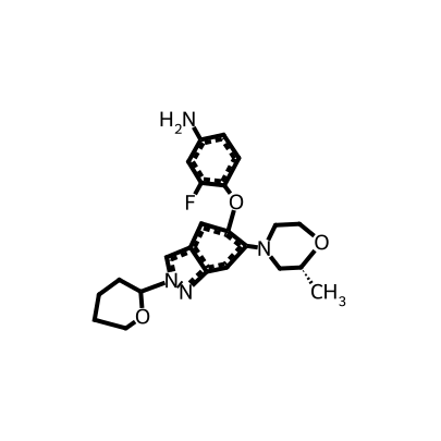 C[C@@H]1CN(c2cc3nn(C4CCCCO4)cc3cc2Oc2ccc(N)cc2F)CCO1